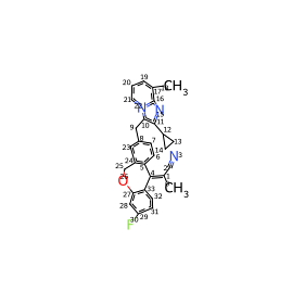 CC(C#N)=C1c2ccc(Cc3c(C4CC4)nc4c(C)cccn34)cc2COc2cc(F)ccc21